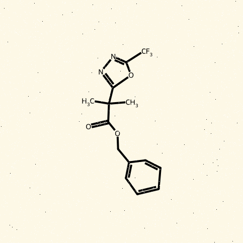 CC(C)(C(=O)OCc1ccccc1)c1nnc(C(F)(F)F)o1